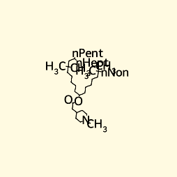 CCCCCCCCCC(C)(C)CCCCCC(CCCCCC(C)(C)CC(CCCCC)CCCCCCC)OC(=O)CC1CCN(C)CC1